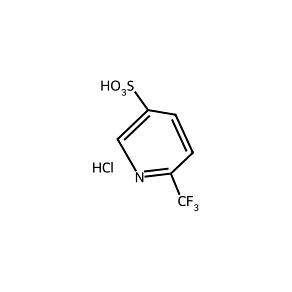 Cl.O=S(=O)(O)c1ccc(C(F)(F)F)nc1